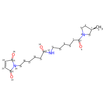 C[C@@H]1CCN(C(=O)CCCCCNC(=O)CCCCCN2C(=O)C=CC2=O)C1